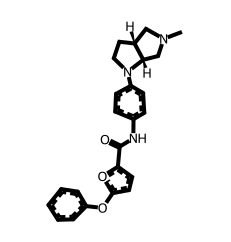 CN1C[C@H]2CCN(c3ccc(NC(=O)c4ccc(Oc5ccccc5)o4)cc3)[C@H]2C1